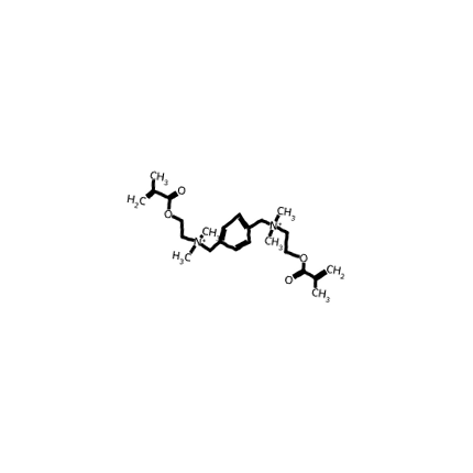 C=C(C)C(=O)OCC[N+](C)(C)Cc1ccc(C[N+](C)(C)CCOC(=O)C(=C)C)cc1